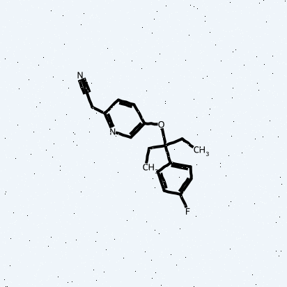 CCC(CC)(Oc1ccc(CC#N)nc1)c1ccc(F)cc1